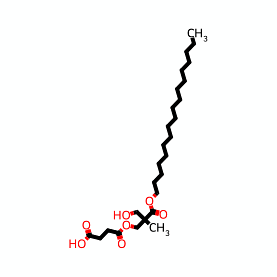 CCCCCCCCCCCCCCCCCCOC(=O)C(C)(CO)COC(=O)CCC(=O)O